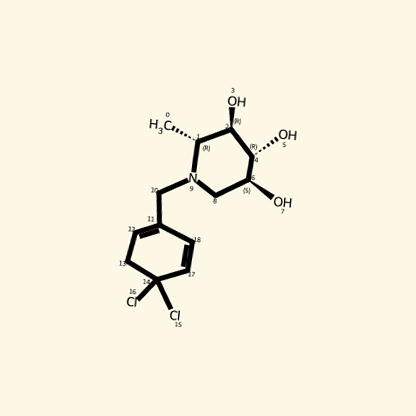 C[C@@H]1[C@@H](O)[C@H](O)[C@@H](O)CN1CC1=CCC(Cl)(Cl)C=C1